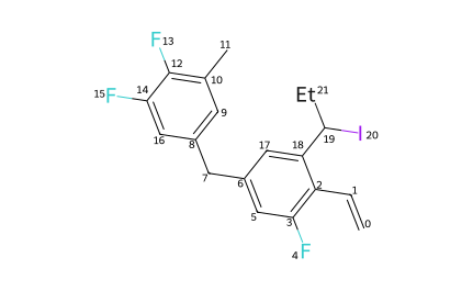 C=Cc1c(F)cc(Cc2cc(C)c(F)c(F)c2)cc1C(I)CC